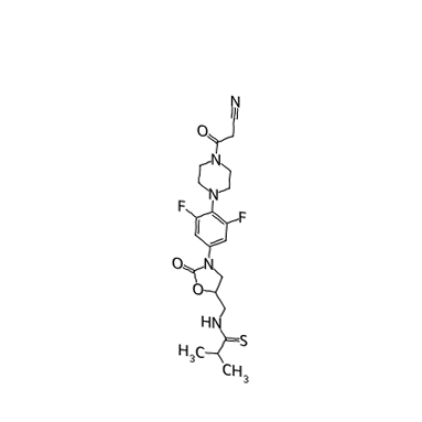 CC(C)C(=S)NCC1CN(c2cc(F)c(N3CCN(C(=O)CC#N)CC3)c(F)c2)C(=O)O1